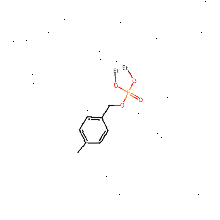 CCOP(=O)(OCC)OCc1ccc(C)cc1